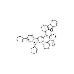 C1=CC2OC3=C(C=CCC3N(C3=CCCC4OC5=C(CCC=C5)C34)c3ccc4c(c3)C3C=CC(C5=CCCC=C5)=CC3N4C3C=CCCC3)C2C=C1